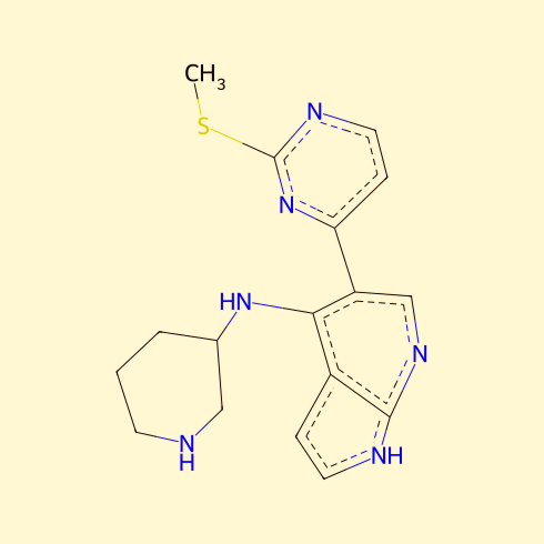 CSc1nccc(-c2cnc3[nH]ccc3c2NC2CCCNC2)n1